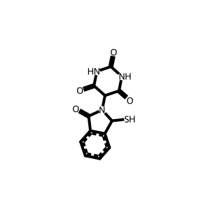 O=C1NC(=O)C(N2C(=O)c3ccccc3C2S)C(=O)N1